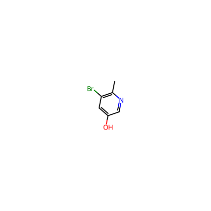 Cc1ncc(O)cc1Br